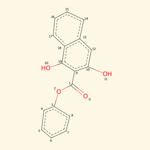 O=C(Oc1ccccc1)c1c(O)cc2ccccc2c1O